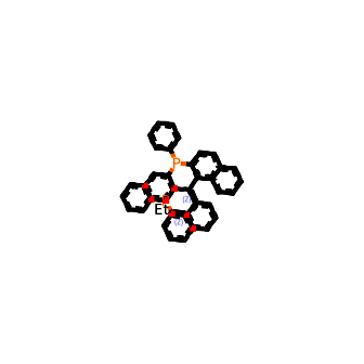 CC/C=c1/cccc/c1=C(/CP(c1ccccc1)c1ccccc1)c1c(P(c2ccccc2)c2ccccc2)ccc2ccccc12